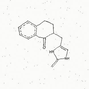 C=C1NC=C(CC2CCc3ccccc3C2=O)N1